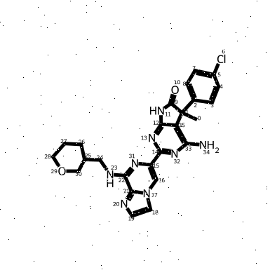 CC1(c2ccc(Cl)cc2)C(=O)Nc2nc(-c3cn4ccnc4c(NCC4CCCOC4)n3)nc(N)c21